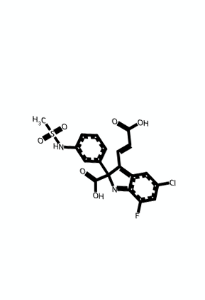 CS(=O)(=O)Nc1cccc(C2(C(=O)O)N=c3c(F)cc(Cl)cc3=C2C=CC(=O)O)c1